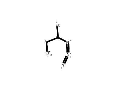 [CH2]CC(CC(F)(F)F)N=[N+]=[N-]